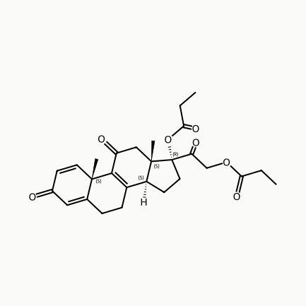 CCC(=O)OCC(=O)[C@@]1(OC(=O)CC)CC[C@H]2C3=C(C(=O)C[C@@]21C)[C@@]1(C)C=CC(=O)C=C1CC3